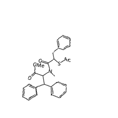 COC(=O)C(C(c1ccccc1)c1ccccc1)N(C)C(=O)C(Cc1ccccc1)SC(C)=O